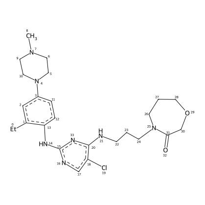 CCc1cc(N2CCN(C)CC2)ccc1Nc1ncc(Cl)c(NCCCN2CCCOCC2=O)n1